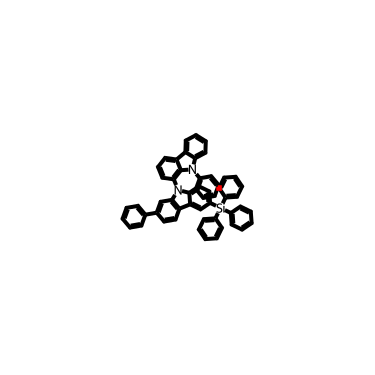 c1ccc(-c2ccc3c4cc([Si](c5ccccc5)(c5ccccc5)c5ccccc5)ccc4n(-c4cccc5c6ccccc6n(-c6ccccc6)c45)c3c2)cc1